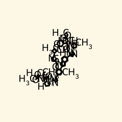 COC(=O)NC(C(=O)N1[C@H](C)[C@H](C)C[C@H]1c1ncc(-c2ccc3c(c2)cc2n3C(c3cnc(C4CCC4)s3)Oc3cc(-c4cnc([C@@H]5CCCN5C(=O)[C@@H](NC(=O)OC)C(C)C)[nH]4)cc(C)c3-2)[nH]1)C1CCOC(C)(C)C1